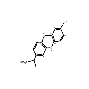 CCOC(=O)C(C)c1ccc2c(c1)Sc1ccc(F)cc1S2